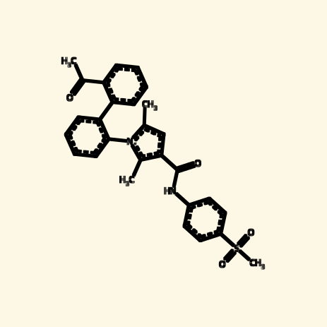 CC(=O)c1ccccc1-c1ccccc1-n1c(C)cc(C(=O)Nc2ccc(S(C)(=O)=O)cc2)c1C